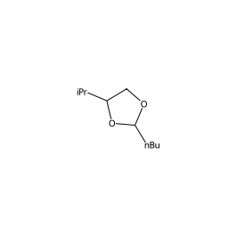 CCCCC1OCC(C(C)C)O1